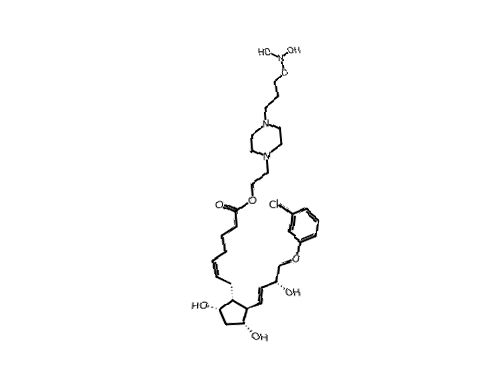 O=C(CCC/C=C\C[C@@H]1[C@@H](/C=C/[C@@H](O)COc2cccc(Cl)c2)[C@H](O)C[C@@H]1O)OCCN1CCN(CCCON(O)O)CC1